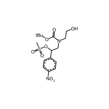 CC(C)(C)OC(=O)N(CCO)CC(OS(C)(=O)=O)c1ccc([N+](=O)[O-])cc1